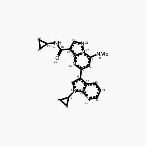 CNc1cc(-c2cn(C3CC3)c3ncccc23)nc2c(C(=O)NC3CC3)cnn12